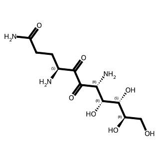 NC(=O)CC[C@H](N)C(=O)C(=O)[C@H](N)[C@@H](O)[C@H](O)[C@H](O)CO